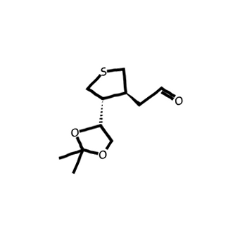 CC1(C)OCC([C@@H]2CSC[C@H]2CC=O)O1